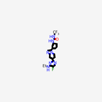 CCNc1nc(-c2ccn3c(-c4cccc(NC(=O)NCC(F)(F)F)c4)cnc3c2)ncc1F